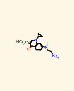 NCCN(F)c1ccc2c(=O)c(C(=O)O)cn(C3CC3)c2c1